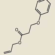 C=CCOC(=O)CCOc1ccccc1